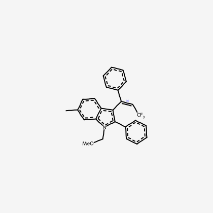 COCn1c(-c2ccccc2)c(/C(=C\C(F)(F)F)c2ccccc2)c2ccc(C)cc21